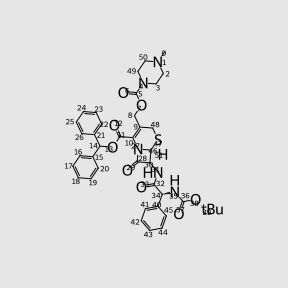 CN1CCN(C(=O)OCC2=C(C(=O)OC(c3ccccc3)c3ccccc3)N3C(=O)C(NC(=O)[C@@H](NC(=O)OC(C)(C)C)c4ccccc4)[C@@H]3SC2)CC1